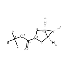 C[C@@H]1[C@H]2CN(C(=O)OC(C)(C)C)C[C@@H]12